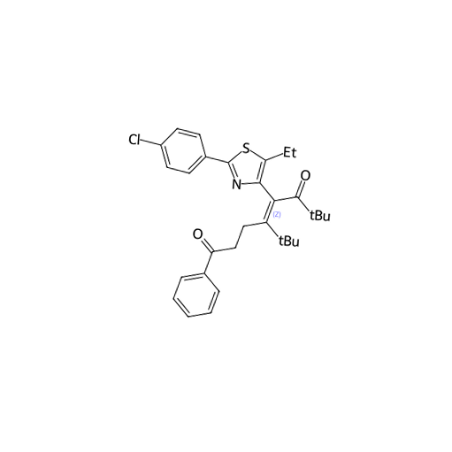 CCc1sc(-c2ccc(Cl)cc2)nc1/C(C(=O)C(C)(C)C)=C(\CCC(=O)c1ccccc1)C(C)(C)C